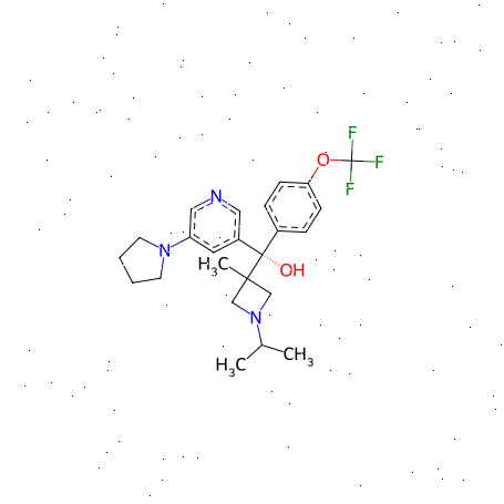 CC(C)N1CC(C)([C@](O)(c2ccc(OC(F)(F)F)cc2)c2cncc(N3CCCC3)c2)C1